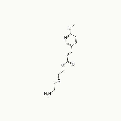 COc1ccc(/C=C/C(=O)OCCOCCN)cn1